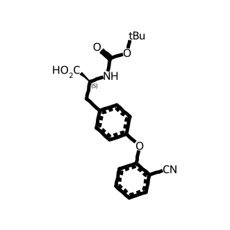 CC(C)(C)OC(=O)N[C@@H](Cc1ccc(Oc2ccccc2C#N)cc1)C(=O)O